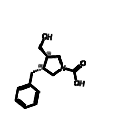 O=C(O)N1C[C@H](CO)[C@@H](Cc2ccccc2)C1